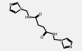 O=C(CCC(=O)NCn1ccnc1)NCn1ccnc1